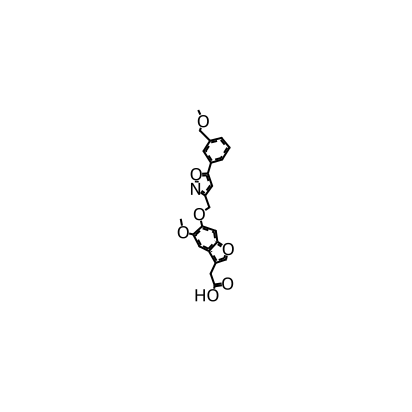 COCc1cccc(-c2cc(COc3cc4occ(CC(=O)O)c4cc3OC)no2)c1